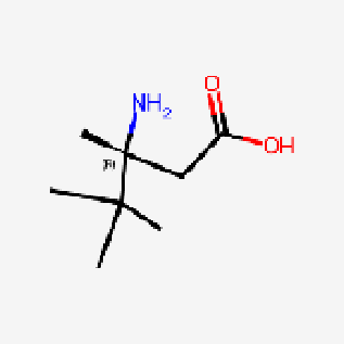 CC(C)(C)[C@](C)(N)CC(=O)O